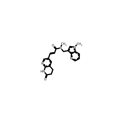 CN(Cc1cn(C)c2cccnc12)C(=O)C=Cc1cnc2c(c1)CCC(=O)N2